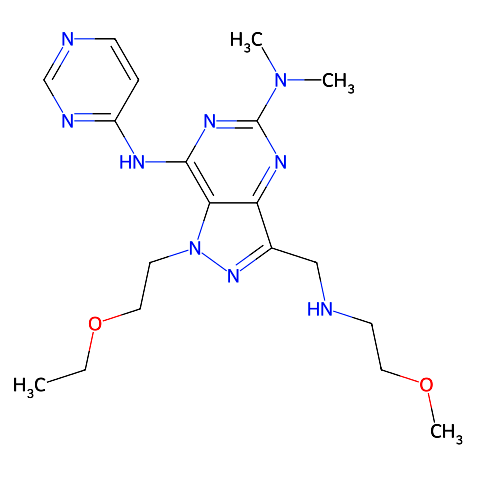 CCOCCn1nc(CNCCOC)c2nc(N(C)C)nc(Nc3ccncn3)c21